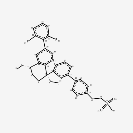 CC[C@H]1CC[C@](CC)(c2cccc(-c3cnc(CCS(C)(=O)=O)nc3)n2)c2nnc(-c3c(F)cccc3F)cc21